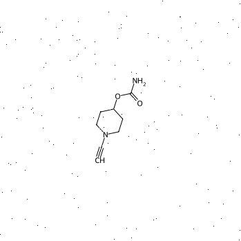 C#CN1CCC(OC(N)=O)CC1